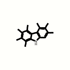 Cc1cc2[nH]c3c(C)c(C)c(C)c(C)c3c2c(C)c1C